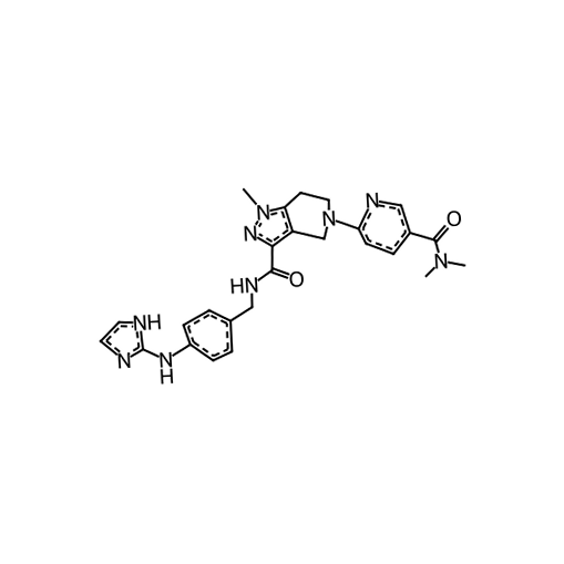 CN(C)C(=O)c1ccc(N2CCc3c(c(C(=O)NCc4ccc(Nc5ncc[nH]5)cc4)nn3C)C2)nc1